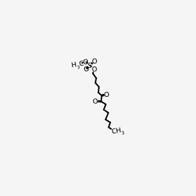 CCCCCCCC(=O)C(=O)CCCCCOS(=O)(=O)OC